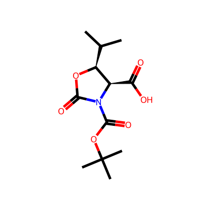 CC(C)[C@@H]1OC(=O)N(C(=O)OC(C)(C)C)[C@@H]1C(=O)O